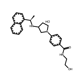 C[C@@H](NC1CCN(c2ccc(C(=O)NCCO)cc2)C1)c1cccc2ccccc12.Cl